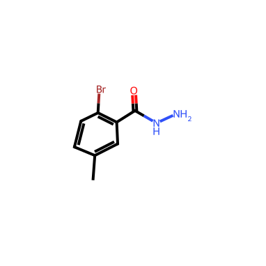 Cc1ccc(Br)c(C(=O)NN)c1